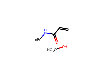 C=CC(=O)NCCC.O=C(O)O